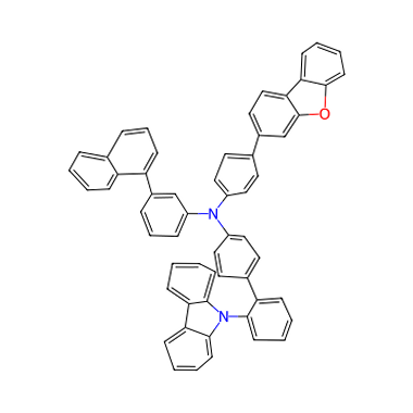 c1cc(-c2cccc3ccccc23)cc(N(c2ccc(-c3ccc4c(c3)oc3ccccc34)cc2)c2ccc(-c3ccccc3-n3c4ccccc4c4ccccc43)cc2)c1